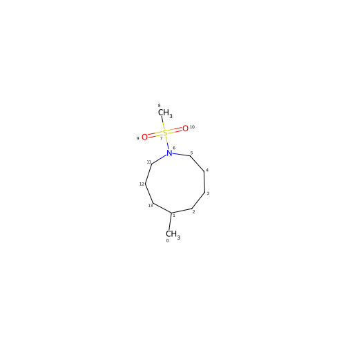 CC1CCCCN(S(C)(=O)=O)CCC1